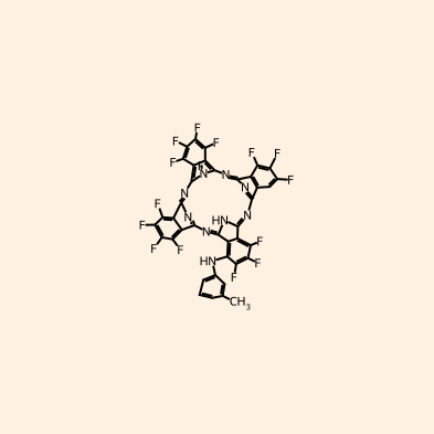 Cc1cccc(Nc2c(F)c(F)c(F)c3c4nc5nc(nc6c7c(F)c(F)c(F)c(F)c7c(nc7nc(nc([nH]4)c23)-c2c(F)c(F)c(F)c(F)c2-7)n6F)-c2c-5cc(F)c(F)c2F)c1